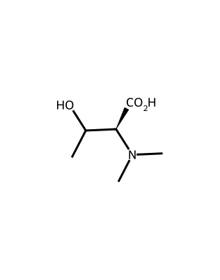 CC(O)[C@@H](C(=O)O)N(C)C